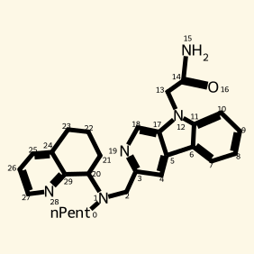 CCCCCN(Cc1cc2c3ccccc3n(CC(N)=O)c2cn1)C1CCCc2cccnc21